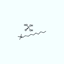 CCCCCCCCCC[N+](C)(C)C.O=P(O)(O)O